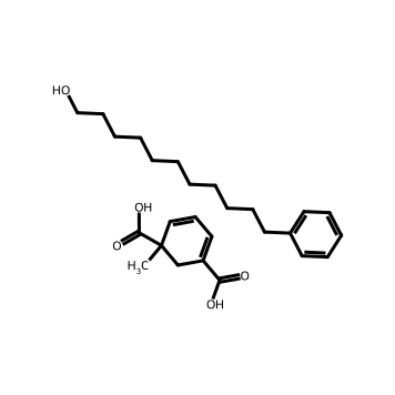 CC1(C(=O)O)C=CC=C(C(=O)O)C1.OCCCCCCCCCCCc1ccccc1